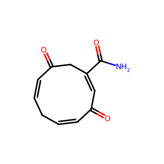 NC(=O)C1=CC(=O)C=CCC=CC(=O)C1